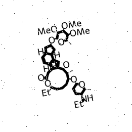 CCN[C@H]1CC[C@H](O[C@H]2CCC[C@H](CC)OC(=O)C[C@@H]3C(=C[C@@H]4[C@H]3C=C[C@@H]3C[C@@H](O[C@@H]5O[C@@H](C)[C@H](OC)[C@@H](OC)[C@H]5OC)C[C@@H]43)C(=O)[C@@H]2C)O[C@@H]1C